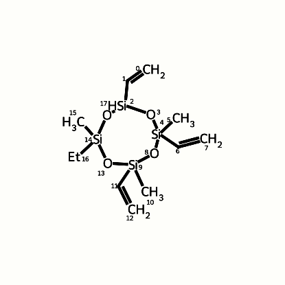 C=C[SiH]1O[Si](C)(C=C)O[Si](C)(C=C)O[Si](C)(CC)O1